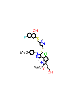 COC(=O)c1c(CCCO)c2ccc(Cl)c(-c3c(C)nn(Cc4ccc(OC)cc4)c3CSCc3cc(CSc4cc(O)c5ccc(F)cc5c4)n(C)n3)c2n1C